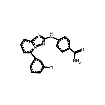 NC(=O)c1ccc(Nc2nc3cccc(-c4cccc(Cl)c4)n3n2)cc1